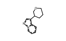 c1ccn2ncc(C3CCCOC3)c2c1